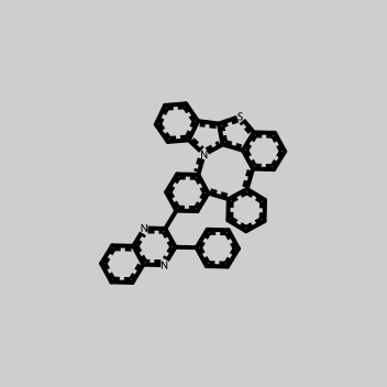 c1ccc(-c2nc3ccccc3nc2-c2ccc3c(c2)c2ccccc2c2cccc4sc5c6ccccc6n3c5c42)cc1